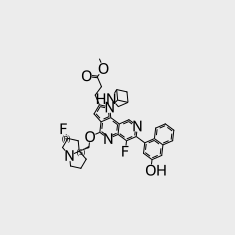 COC(=O)CCc1cc2c(OC[C@@]34CCCN3C[C@H](F)C4)nc3c(F)c(-c4cc(O)cc5ccccc45)ncc3c2n1C1C2CNC1C2